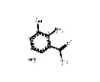 Cl.NC(=O)c1cccc(O)c1N